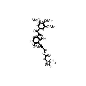 COc1cc(C(=O)c2n[nH]c3c(C#CCOC(=O)CN(C)C)c(OC)ccc23)cc(OC)c1OC